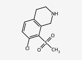 CS(=O)(=O)c1c(Cl)ccc2c1CNCC2